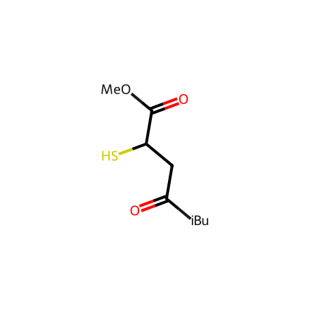 CCC(C)C(=O)CC(S)C(=O)OC